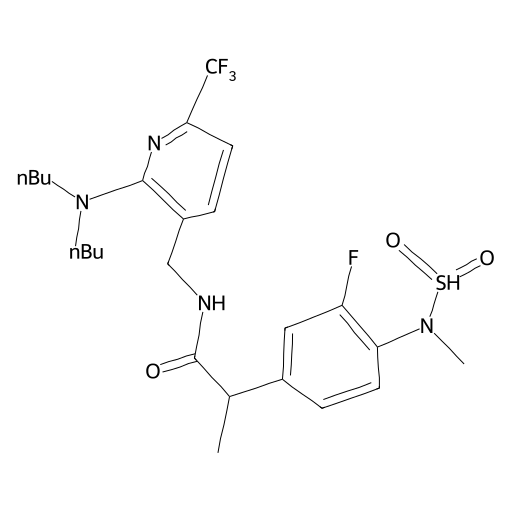 CCCCN(CCCC)c1nc(C(F)(F)F)ccc1CNC(=O)C(C)c1ccc(N(C)[SH](=O)=O)c(F)c1